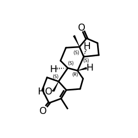 CC1=C2CC[C@@H]3[C@H](CC[C@]4(C)C(=O)CC[C@@H]34)[C@@]2(CO)CCC1=O